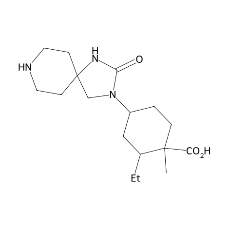 CCC1CC(N2CC3(CCNCC3)NC2=O)CCC1(C)C(=O)O